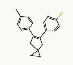 Cc1ccc(C2=C(c3ccc(F)cc3)CC3(CC3)C2)cc1